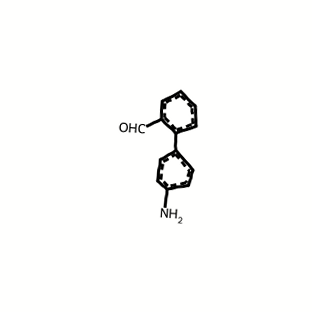 Nc1ccc(-c2ccccc2C=O)cc1